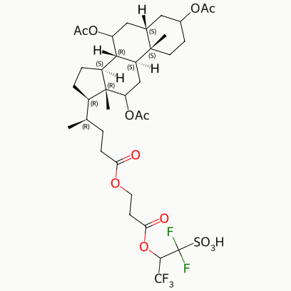 CC(=O)OC1CC[C@@]2(C)[C@@H](C1)CC(OC(C)=O)[C@@H]1[C@@H]2CC(OC(C)=O)[C@]2(C)[C@@H]([C@H](C)CCC(=O)OCCC(=O)OC(C(F)(F)F)C(F)(F)S(=O)(=O)O)CC[C@@H]12